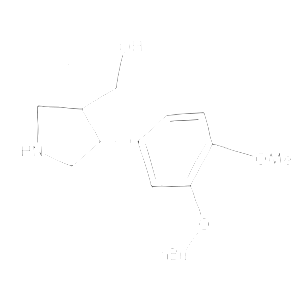 CCCCOc1cc([C@@H]2CNC[C@@]2(C)[C@@H](C)O)ccc1OC